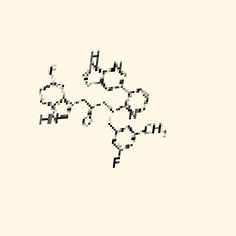 Cc1cc(F)cc(C[C@H](CC(=O)Cc2c[nH]c3ccc(F)cc23)c2ncccc2-c2cnc3[nH]ccc3c2)c1